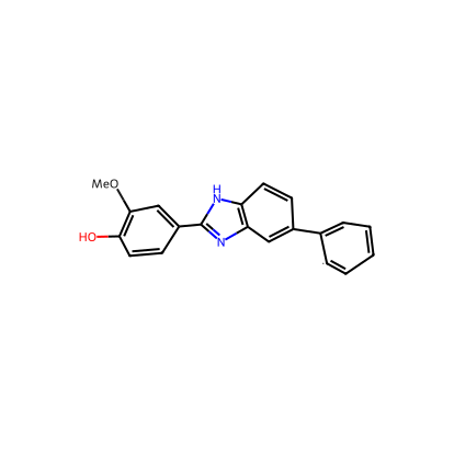 COc1cc(-c2nc3cc(-c4[c]cccc4)ccc3[nH]2)ccc1O